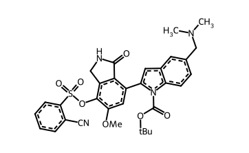 COc1cc(-c2cc3cc(CN(C)C)ccc3n2C(=O)OC(C)(C)C)c2c(c1OS(=O)(=O)c1ccccc1C#N)CNC2=O